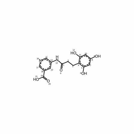 O=C(CCc1c(O)cc(O)cc1O)Nc1cncc(C(=O)O)c1